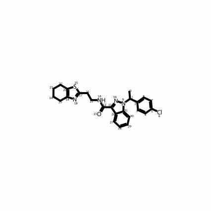 CC(c1ccc(Cl)cc1)n1nc(C(=O)NCCc2nc3c(s2)CCCC3)c2ccccc21